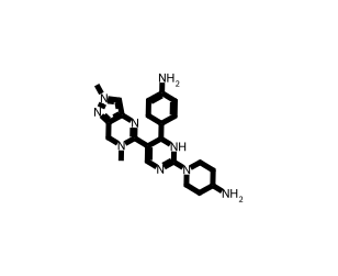 CN1Cc2nn(C)cc2N=C1C1=CN=C(N2CCC(N)CC2)NC1C1C=CC(N)=CC1